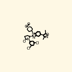 Cc1noc(C)c1-c1ccc2c(c1)nc([C@@H]1CCC(=O)N1c1cc(Cl)cc(Cl)c1)n2C1CCS(=O)(=O)CC1